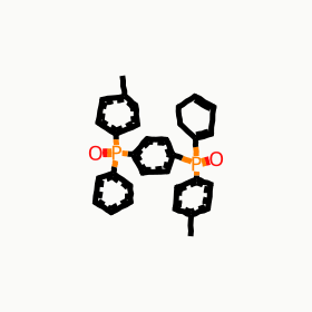 Cc1ccc(P(=O)(C2=CC=CCC2)c2ccc(P(=O)(c3ccccc3)c3ccc(C)cc3)cc2)cc1